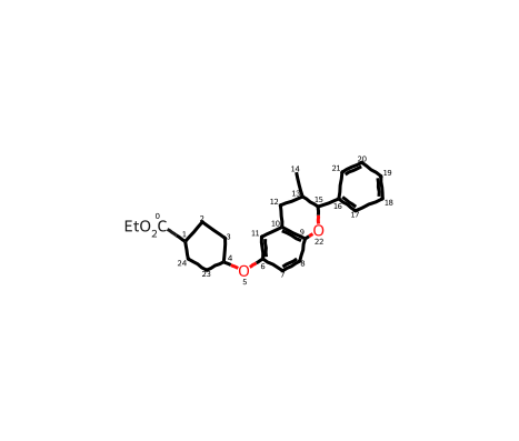 CCOC(=O)C1CCC(Oc2ccc3c(c2)CC(C)C(c2ccccc2)O3)CC1